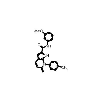 C=C1C=Cc2cc(C(=O)Nc3cccc(OC)c3)[nH]c2N1c1ccc(C(F)(F)F)cc1